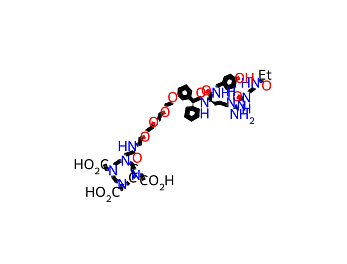 CCC(=O)NCCNC(=O)/N=C(/N)NCCC[C@@H](NC(=O)[C@H](c1ccccc1)c1cccc(OCCOCCOCCOCCNC(=O)CN2CCN(CC(=O)O)CCN(CC(=O)O)CCN(CC(=O)O)CC2)c1)C(=O)NCc1ccc(O)cc1